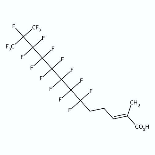 CC(=CCCC(F)(F)C(F)(F)C(F)(F)C(F)(F)C(F)(F)C(F)(F)C(F)(C(F)(F)F)C(F)(F)F)C(=O)O